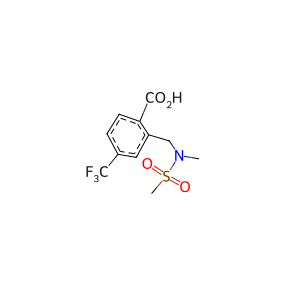 CN(Cc1cc(C(F)(F)F)ccc1C(=O)O)S(C)(=O)=O